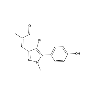 CC(C=O)=CC1=NN(C)S(c2ccc(O)cc2)=C1Br